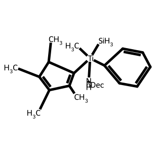 CCCCCCCCCC[NH][Ti]([CH3])([SiH3])([C]1=C(C)C(C)=C(C)C1C)[c]1ccccc1